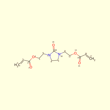 C=CC(=O)OCCN1CCN(CCOC(=O)C=C)C1=O